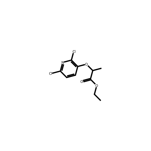 CCOC(=O)C(C)Oc1ccc(Cl)nc1Cl